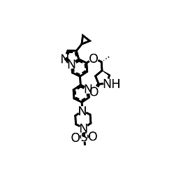 C[C@@H](Oc1cc(-c2ccc(N3CCN(S(C)(=O)=O)CC3)cn2)cn2ncc(C3CC3)c12)[C@H]1CNC(=O)C1